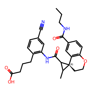 CCCNC(=O)c1ccc2c(c1)[C@]1(CCO2)C(C)C1C(=O)Nc1cc(C#N)ccc1CCCC(=O)O